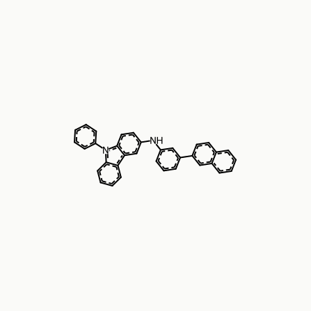 c1ccc(-n2c3ccccc3c3cc(Nc4cccc(-c5ccc6ccccc6c5)c4)ccc32)cc1